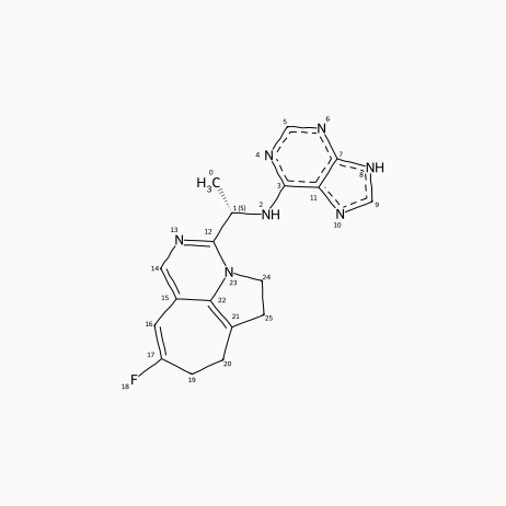 C[C@H](Nc1ncnc2[nH]cnc12)C1=NC=C2C=C(F)CCC3=C2N1CC3